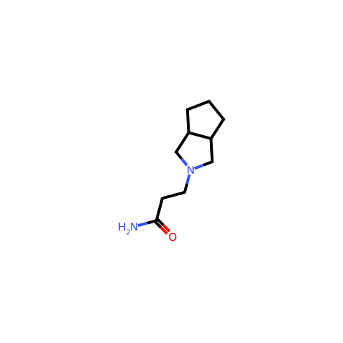 NC(=O)CCN1CC2CCCC2C1